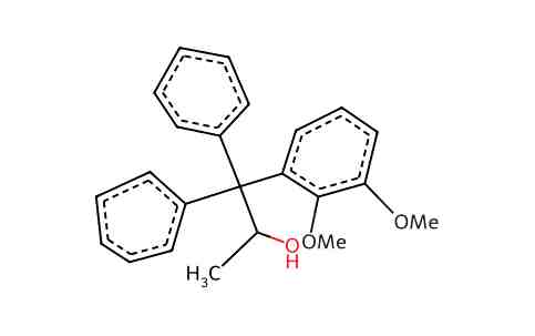 COc1cccc(C(c2ccccc2)(c2ccccc2)C(C)O)c1OC